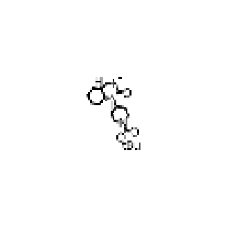 CN1C[C@H]2CCCC[C@@H]2N(C2CCN(C(=O)OC(C)(C)C)CC2)C1=O